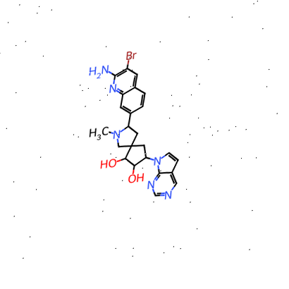 CN1CC2(CC1c1ccc3cc(Br)c(N)nc3c1)CC(n1ccc3cncnc31)C(O)C2O